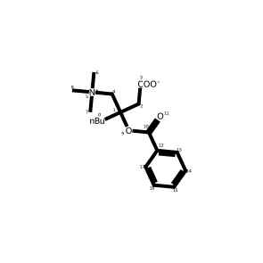 CCCCC(CC(=O)[O-])(C[N+](C)(C)C)OC(=O)c1ccccc1